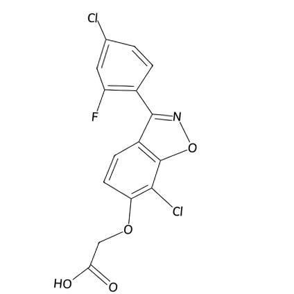 O=C(O)COc1ccc2c(-c3ccc(Cl)cc3F)noc2c1Cl